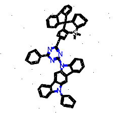 C[Si]1(C)c2ccccc2C2(c3ccccc3-c3ccccc32)c2ccc(-c3nc(-c4ccccc4)nc(-n4c5ccccc5c5cc6c(cc54)c4ccccc4n6-c4ccccc4)n3)cc21